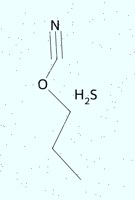 CCCOC#N.S